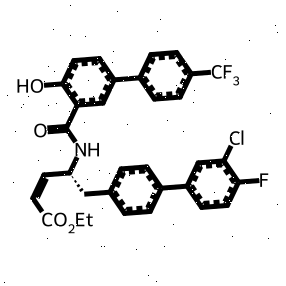 CCOC(=O)/C=C\[C@@H](Cc1ccc(-c2ccc(F)c(Cl)c2)cc1)NC(=O)c1cc(-c2ccc(C(F)(F)F)cc2)ccc1O